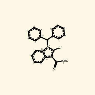 O=CC(=O)c1c(Cl)n(C(c2ccccc2)c2ccccc2)c2ccccc12